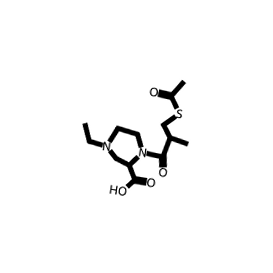 CCN1CCN(C(=O)C(C)CSC(C)=O)C(C(=O)O)C1